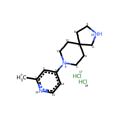 Cc1cc(N2CCC3(CCNC3)CC2)ccn1.Cl.Cl